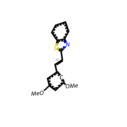 COc1cc(/C=C/c2nc3ccccc3s2)cc(OC)c1